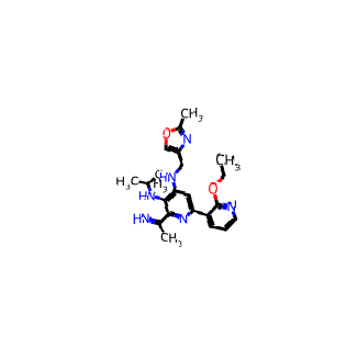 CCOc1ncccc1-c1cc(NCc2coc(C)n2)c(NC(C)C)c(C(C)=N)n1